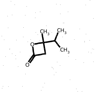 CC(C)C1(C)CC(=O)O1